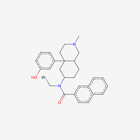 CC(C)CN(C(=O)c1ccc2ccccc2c1)C1CCC2CN(C)CCC2(c2cccc(O)c2)C1